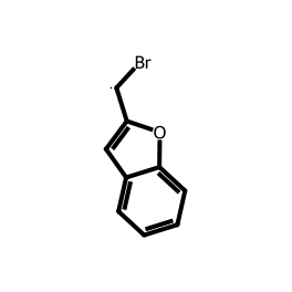 Br[CH]c1cc2ccccc2o1